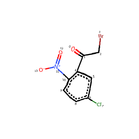 O=C(CBr)c1cc(Cl)ccc1[N+](=O)[O-]